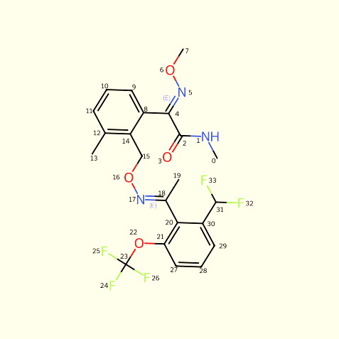 CNC(=O)/C(=N/OC)c1cccc(C)c1CO/N=C(\C)c1c(OC(F)(F)F)cccc1C(F)F